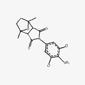 CC12CCC(C)(O1)C1C(=O)N(c3cc(Cl)c([N+](=O)[O-])c(Cl)c3)C(=O)C12